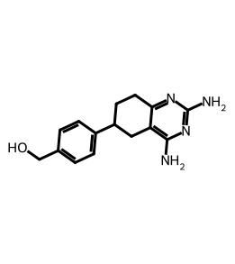 Nc1nc(N)c2c(n1)CCC(c1ccc(CO)cc1)C2